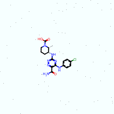 C[C@@H]1[C@H](Nc2nnc(C(N)=O)c(Nc3ccc(Cl)cc3)n2)CCCN1C(=O)O